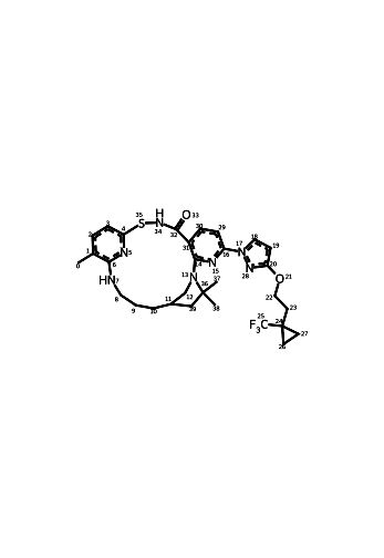 Cc1ccc2nc1NCCCC1CN(c3nc(-n4ccc(OCCC5(C(F)(F)F)CC5)n4)ccc3C(=O)NS2)C(C)(C)C1